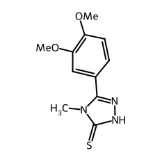 COc1ccc(-c2n[nH]c(=S)n2C)cc1OC